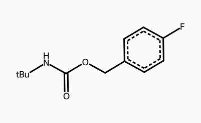 CC(C)(C)NC(=O)OCc1ccc(F)cc1